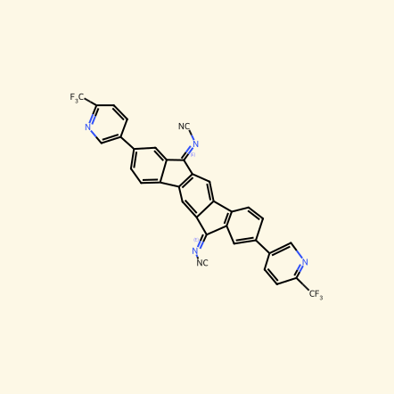 [C-]#[N+]/N=c1\c2cc(-c3ccc(C(F)(F)F)nc3)ccc2c2cc3/c(=N/C#N)c4cc(-c5ccc(C(F)(F)F)nc5)ccc4c3cc12